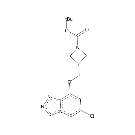 CC(C)(C)OC(=O)N1CC(COc2cc(Cl)cn3cnnc23)C1